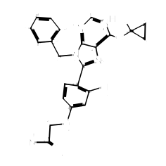 CC1(Oc2ncnc3c2nc(-c2ccc(OCC(N)=O)cc2Cl)n3Cc2ccccc2)CC1